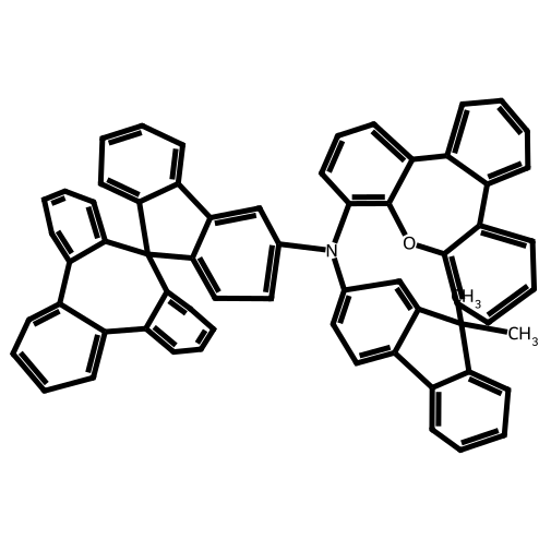 CC1(C)c2ccccc2-c2ccc(N(c3ccc4c(c3)-c3ccccc3C43c4ccccc4-c4ccccc4-c4ccccc43)c3cccc4c3Oc3ccccc3-c3ccccc3-4)cc21